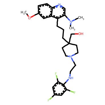 COc1ccc2ncc(N(C)C)c(CCCC3(CO)CCN(CCNc4c(F)cc(F)cc4F)CC3)c2c1